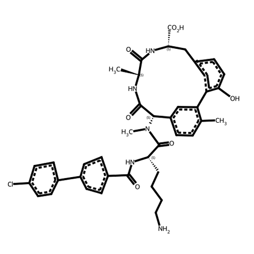 Cc1ccc2cc1-c1cc(ccc1O)C[C@@H](C(=O)O)NC(=O)[C@H](C)NC(=O)[C@H]2N(C)C(=O)[C@H](CCCCN)NC(=O)c1ccc(-c2ccc(Cl)cc2)cc1